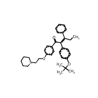 CC/C(=C(/C(=O)c1ccc(OCCN2CCCCC2)cc1)c1ccc(OC(C)(C)C)cc1)c1ccccc1